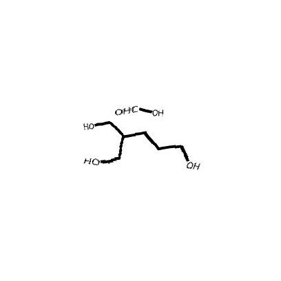 O=CO.OCCCC(CO)CO